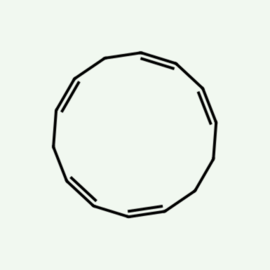 C1=CCC=CCC=CC=CCCC=C1